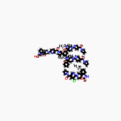 CN(C)C(=O)C1(c2ccccc2)CCN(c2ccc(C(=O)N3CCCC3)cn2)CC1.CON(C)C(=O)C1(c2ccccc2)CCN(c2ccc(C(=O)N3CCCC3)cn2)CC1.Cc1ccc2c(c1)C1(CCN(c3ncc(C(=O)N4CCCC4)cc3Cl)CC1)OC(=O)N2.O=C(c1ccc(N2CCC(C(=O)NCCO)(c3ccccc3)CC2)nc1)N1CCCC1